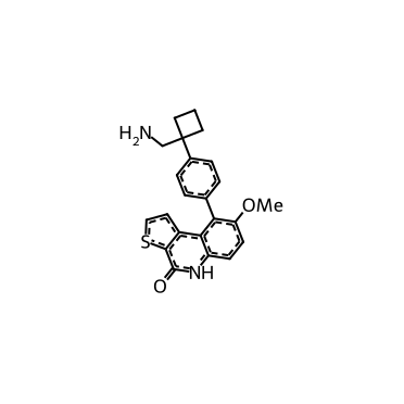 COc1ccc2[nH]c(=O)c3sccc3c2c1-c1ccc(C2(CN)CCC2)cc1